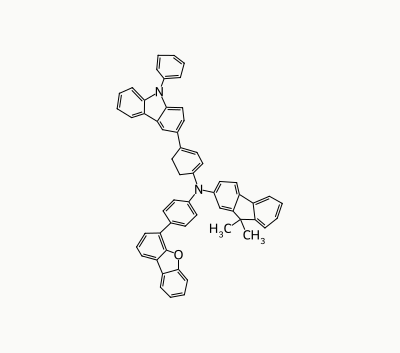 CC1(C)c2ccccc2-c2ccc(N(C3=CC=C(c4ccc5c(c4)c4ccccc4n5-c4ccccc4)CC3)c3ccc(-c4cccc5c4oc4ccccc45)cc3)cc21